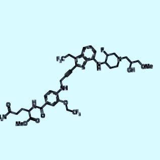 COCC(O)CN1CCC(Nc2cccc3c(CC(F)(F)F)c(C#CCNc4ccc(C(=O)NC(CCC(N)=O)C(=O)OC)cc4OCC(F)(F)F)sc23)C(F)C1